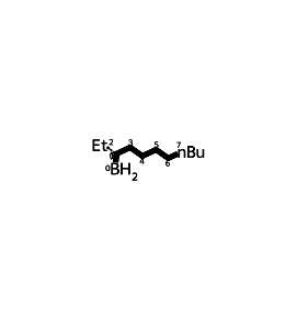 B[C@H](CC)CCCCCCCC